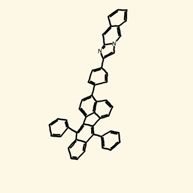 c1ccc(-c2c3c(c(-c4ccccc4)c4ccccc24)-c2ccc(-c4ccc(-c5cn6cc7ccccc7cc6n5)cc4)c4cccc-3c24)cc1